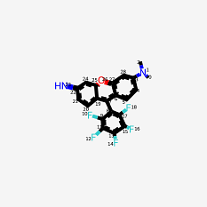 CN(C)c1ccc2c(-c3c(F)c(F)c(F)c(F)c3F)c3ccc(=N)cc-3oc2c1